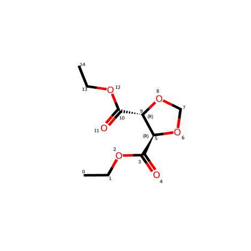 CCOC(=O)[C@@H]1OCO[C@H]1C(=O)OCC